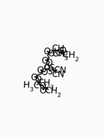 C=CC(=O)OCC(C)(C)COC(=O)CCC(=O)Oc1ccc(OC(=O)CCC(=O)OCC(C)(C)COC(=O)C=C)c2c1SC(=C(C#N)C#N)S2